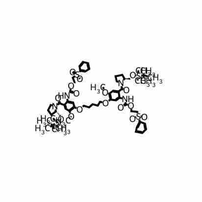 COc1cc(C(=O)N2CCC[C@H]2CO[Si](C)(C)C(C)(C)C)c(NC(=O)OCCS(=O)(=O)c2ccccc2)cc1OCCCCCOc1cc(NC(=O)OCCS(=O)(=O)c2ccccc2)c(C(=O)N2CCC[C@H]2CO[Si](C)(C)C(C)(C)C)cc1OC